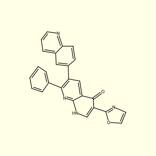 O=c1c(-c2ncco2)c[nH]c2nc(-c3ccccc3)c(-c3ccc4ncccc4c3)cc12